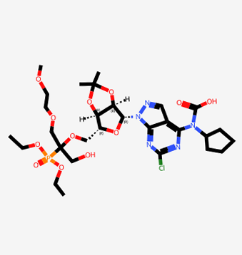 CCOP(=O)(OCC)C(CO)(COCCOC)OC[C@H]1O[C@@H](n2ncc3c(N(C(=O)O)C4CCCC4)nc(Cl)nc32)[C@@H]2OC(C)(C)O[C@@H]21